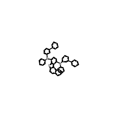 c1ccc(-c2cccc(N(c3ccccc3)c3ccc(N(c4ccccc4)c4cccc(-c5ccccc5)c4)c4c3sc3ccc5ccccc5c34)c2)cc1